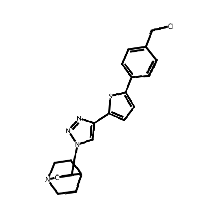 ClCc1ccc(-c2ccc(-c3cn(C4CN5CCC4CC5)nn3)s2)cc1